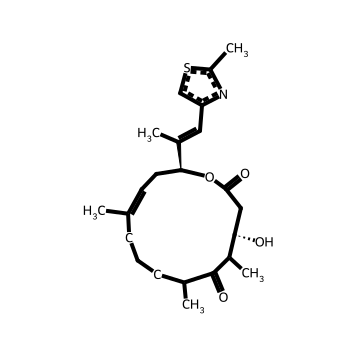 C/C1=C/C[C@@H](/C(C)=C/c2csc(C)n2)OC(=O)C[C@H](O)C(C)C(=O)C(C)CCC1